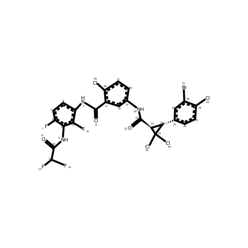 O=C(Nc1ccc(F)c(NC(=O)C(F)F)c1F)c1cc(NC(=O)[C@H]2[C@H](c3ccc(Cl)c(Br)c3)C2(Cl)Cl)ccc1Cl